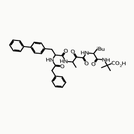 CCC(C)C(NC(=O)C(=O)C(C)NC(=O)C(Cc1ccc(-c2ccccc2)cc1)NC(=O)Cc1ccccc1)C(=O)NC(C)(C)C(=O)O